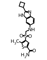 Cc1sc(C(N)=O)cc1S(=O)(=O)CNc1ccc2nc(C3CCC3)[nH]c2c1